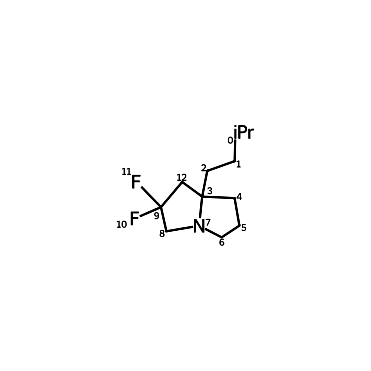 CC(C)CCC12CCCN1CC(F)(F)C2